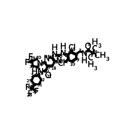 CC(C)(C)C(=O)NCc1ccc(Cl)c(Nc2nc3cc(C(=O)NC4CCC(C(F)(F)F)CC4)c(N4CCC(F)(F)C4)nc3[nH]2)c1Cl